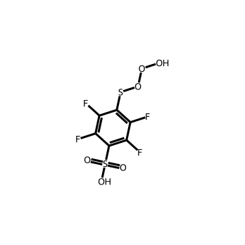 O=S(=O)(O)c1c(F)c(F)c(SOOO)c(F)c1F